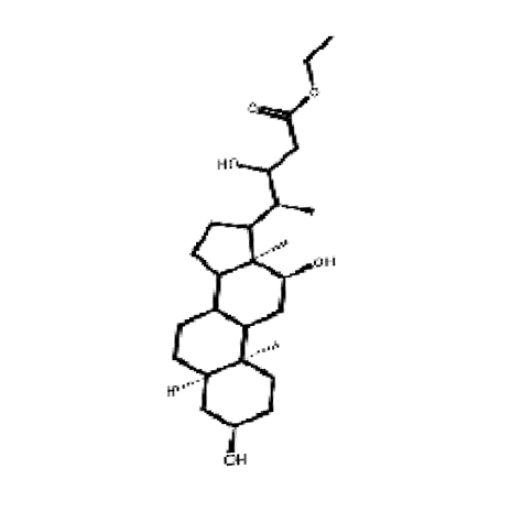 CCOC(=O)CC(O)[C@@H](C)C1CCC2C3CC[C@@H]4C[C@H](O)CC[C@]4(C)C3C[C@H](O)[C@@]21C